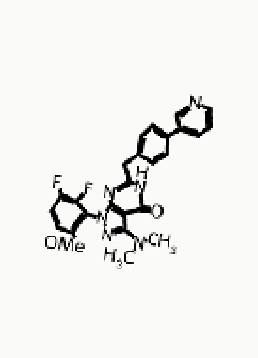 COc1ccc(F)c(F)c1-n1nc(N(C)C)c2c(=O)[nH]c(Cc3ccc(-c4cccnc4)cc3)nc21